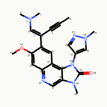 CC#C/C(=C\N(C)C)c1cc2c(cc1OC)ncc1c2n(-c2cnn(C)c2)c(=O)n1C